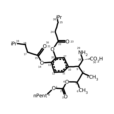 CCCCCOC(=O)OC(C)C(C)C(c1ccc(OC(=O)CCC(C)C)c(OC(=O)CCC(C)C)c1)[C@H](N)C(=O)O